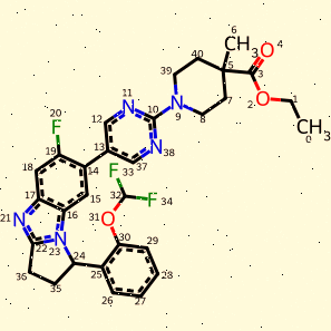 CCOC(=O)C1(C)CCN(c2ncc(-c3cc4c(cc3F)nc3n4C(c4ccccc4OC(F)F)CC3)cn2)CC1